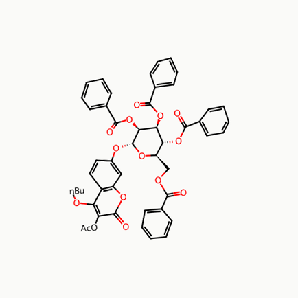 CCCCOc1c(OC(C)=O)c(=O)oc2cc(O[C@H]3O[C@H](COC(=O)c4ccccc4)[C@@H](OC(=O)c4ccccc4)[C@H](OC(=O)c4ccccc4)[C@@H]3OC(=O)c3ccccc3)ccc12